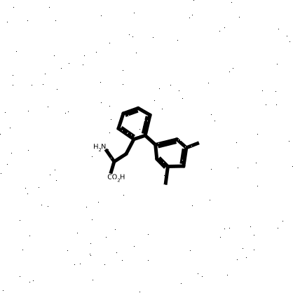 Cc1cc(C)cc(-c2ccccc2CC(N)C(=O)O)c1